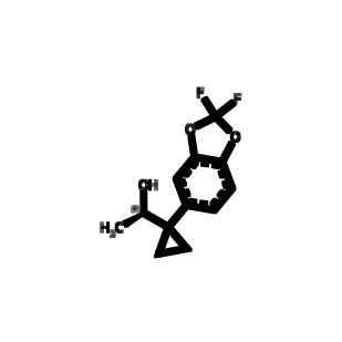 C[C@@H](O)C1(c2ccc3c(c2)OC(F)(F)O3)CC1